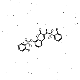 O=c1oc2c(OS(=O)(=O)c3ccccc3F)cccc2cc1NS(=O)(=O)c1ccccc1F